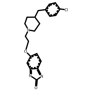 O=C1N=c2ccc(OCCN3CCC(Cc4ccc(Cl)cc4)CC3)cc2=N1